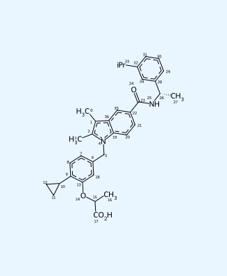 Cc1c(C)n(Cc2ccc(C3CC3)c(OC(C)C(=O)O)c2)c2ccc(C(=O)N[C@@H](C)c3cccc(C(C)C)c3)cc12